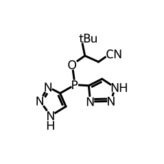 CC(C)(C)C(CC#N)OP(c1c[nH]nn1)c1c[nH]nn1